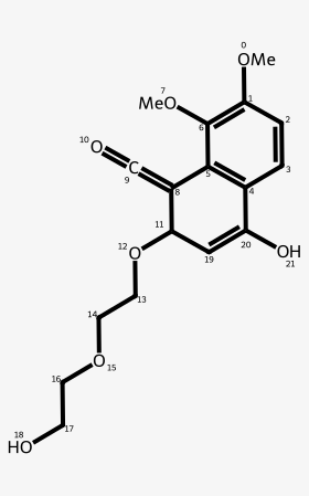 COc1ccc2c(c1OC)C(=C=O)C(OCCOCCO)C=C2O